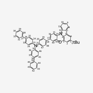 CC(C)(C)c1cc2c3c(c1)c1ccccc1n3-c1ccc(-c3ccc(N(c4ccc(-c5ccccc5)cc4)c4ccc(-c5ccccc5)cc4)cc3)cc1O2